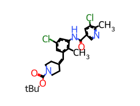 Cc1ncc(C(=O)Nc2cc(Cl)cc(C=C3CCN(C(=O)OC(C)(C)C)CC3)c2C)cc1Cl